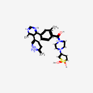 C=C(N)/C=C\C(=C/N)c1c(CC)ncnc1-c1ccc(C(=O)N2CCN(C3CCS(=O)(=O)C3)CC2)c(C)c1